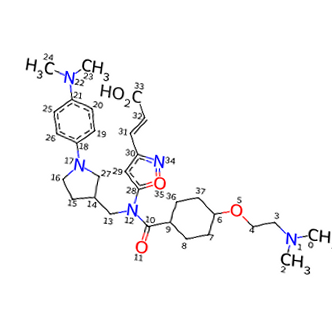 CN(C)CCOC1CCC(C(=O)N(CC2CCN(c3ccc(N(C)C)cc3)C2)c2cc(C=CC(=O)O)no2)CC1